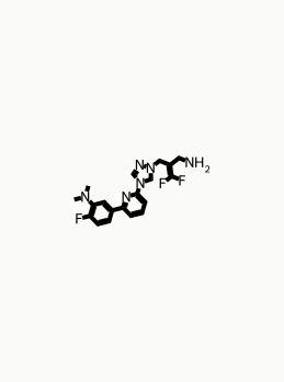 CN(C)c1cc(-c2cccc(N3C=NN(CC(CN)=C(F)F)C3)n2)ccc1F